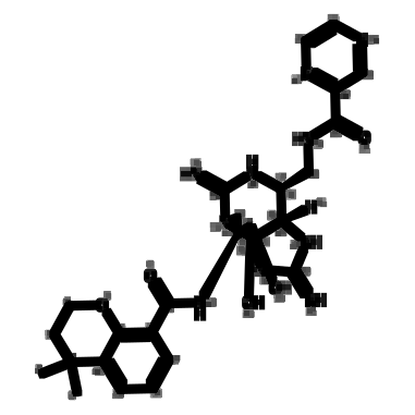 CC1(C)CCOc2c(C(=O)N[C@H]3CN4C(=N)N[C@@H](CNC(=O)c5cnccn5)[C@@H]5NC(=N)N[C@@]54C3(O)O)cccc21